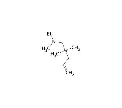 C=CC[Si](C)(C)CN(C)CC